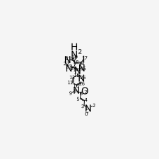 CN(C)CC=CC(=O)N(C)c1ccc(-n2nc(I)c3c(N)ncnc32)nc1